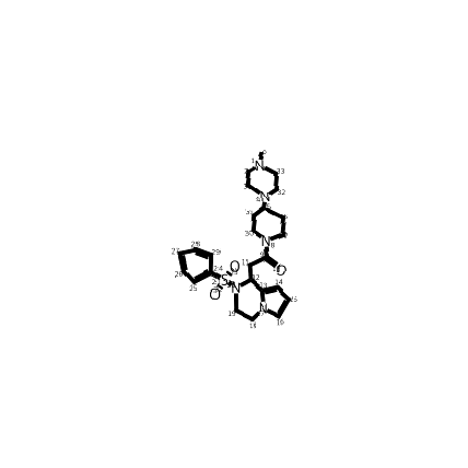 CN1CCN(C2CCN(C(=O)CC3c4cccn4CCN3S(=O)(=O)c3ccccc3)CC2)CC1